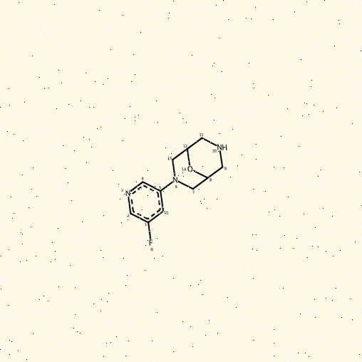 Fc1cncc(N2CC3CNCC(C2)O3)c1